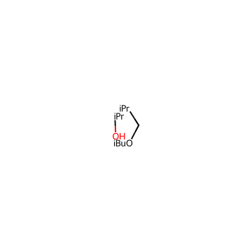 CC(C)COCC(C)C.CC(C)O